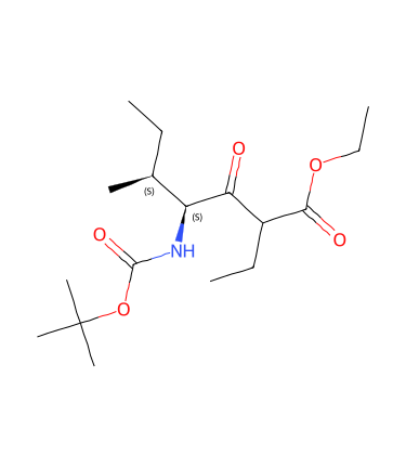 CCOC(=O)C(CC)C(=O)[C@@H](NC(=O)OC(C)(C)C)[C@@H](C)CC